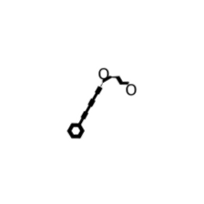 O=CC=C[C@@H]1O[C@H]1C#CC#CC#Cc1ccccc1